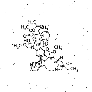 CC[C@]1(O)C[C@@H]2CN(CCc3c([nH]c4ccccc34)[C@@](C(=O)OC)(c3cc4c(cc3OC)N(COC)[C@H]3[C@@](O)(C(=O)OC)[C@H](OC(C)=O)[C@]5(CC)C=CCN6CC[C@]43[C@@H]65)C2)C1